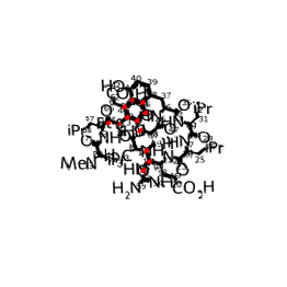 CCS(=S)c1ccccc1OC(=O)[C@H](C)NC(=O)[C@H](CCC(=O)O)NC(=O)[C@H](CC(C)C)NC(=O)[C@H](CC(C)C)NC(=O)C(Cc1ccc(O)cc1)NC(=O)[C@H](CCCNC(=N)N)NC(=O)C(CCC(=O)O)CC(=O)[C@H](CC(C)C)NC(=O)[C@@H](NC)C(C)C